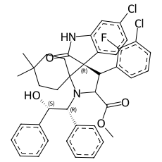 COC(=O)C1C(c2cccc(Cl)c2F)[C@]2(C(=O)Nc3cc(Cl)ccc32)C2(CCC(C)(C)CC2)N1[C@H](c1ccccc1)[C@@H](O)c1ccccc1